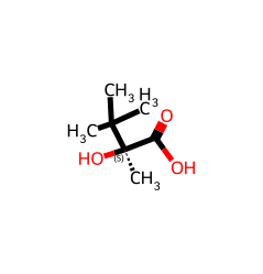 CC(C)(C)[C@](C)(O)C(=O)O